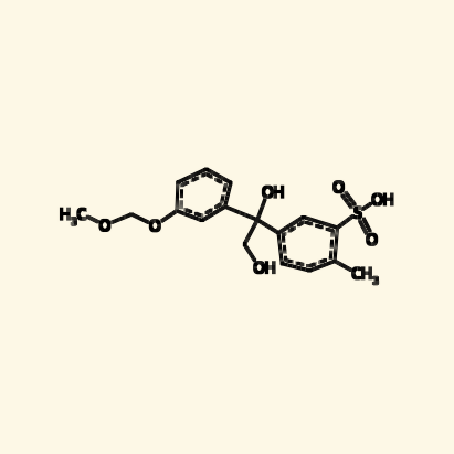 COCOc1cccc(C(O)(CO)c2ccc(C)c(S(=O)(=O)O)c2)c1